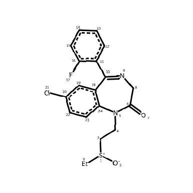 CC[S+]([O-])CCN1C(=O)CN=C(c2ccccc2F)c2cc(Cl)ccc21